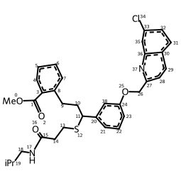 COC(=O)c1ccccc1CCC(SCCC(=O)NCC(C)C)c1cccc(OCc2ccc3ccc(Cl)cc3n2)c1